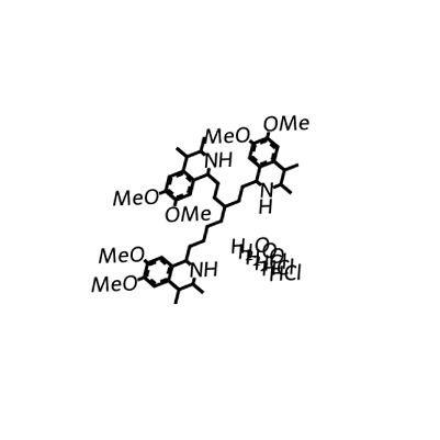 COc1cc2c(cc1OC)C(C)C(C)NC2CCCCC(CCC1NC(C)C(C)c2cc(OC)c(OC)cc21)CCC1NC(C)C(C)c2cc(OC)c(OC)cc21.Cl.Cl.Cl.O.O.O